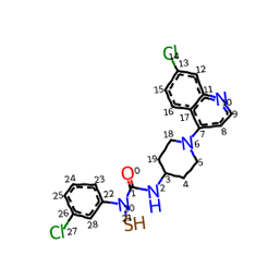 O=C(NC1CCN(c2ccnc3cc(Cl)ccc23)CC1)N(S)c1cccc(Cl)c1